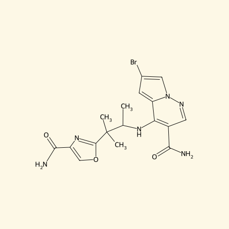 CC(Nc1c(C(N)=O)cnn2cc(Br)cc12)C(C)(C)c1nc(C(N)=O)co1